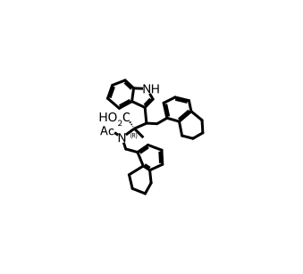 CC(=O)N(Cc1cccc2c1CCCC2)[C@@](C)(C(=O)O)C(Cc1cccc2c1CCCC2)c1c[nH]c2ccccc12